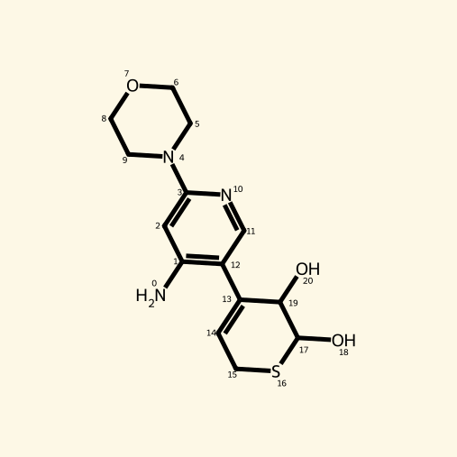 Nc1cc(N2CCOCC2)ncc1C1=CCSC(O)C1O